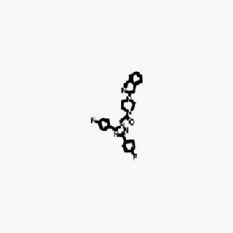 O=C(Cn1nc(-c2ccc(F)cc2)nc1-c1ccc(F)cc1)N1CCN(c2cc3ccccc3cn2)CC1